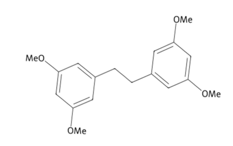 COc1cc(CCc2cc(OC)cc(OC)c2)cc(OC)c1